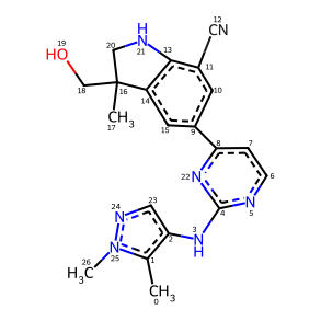 Cc1c(Nc2nccc(-c3cc(C#N)c4c(c3)C(C)(CO)CN4)n2)cnn1C